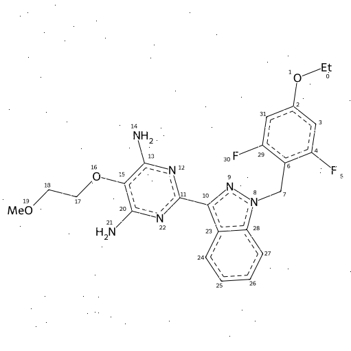 CCOc1cc(F)c(Cn2nc(-c3nc(N)c(OCCOC)c(N)n3)c3ccccc32)c(F)c1